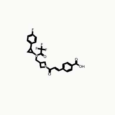 O=C(O)c1ccc(C=CC(=O)N2CC(CN(C(=O)C(F)(F)F)C3CC3c3ccc(F)cc3)C2)cc1